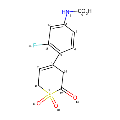 O=C(O)Nc1ccc(C2=CCS(=O)(=O)C(=O)C2)c(F)c1